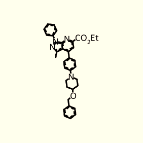 CCOC(=O)c1cc(-c2ccc(N3CCC(OCc4ccccc4)CC3)cc2)c2c(C)nn(-c3ccccc3)c2n1